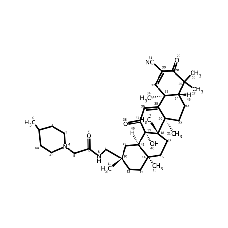 CC1CCN(CC(=O)NC[C@@]2(C)CC[C@]3(C)CC[C@@]4(C)[C@]5(C)CC[C@H]6C(C)(C)C(=O)C(C#N)=C[C@]6(C)C5=CC(=O)[C@]4(O)[C@@H]3C2)CC1